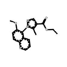 CCOC(=O)c1cnn(-c2c(OC)ccc3ncccc23)c1C